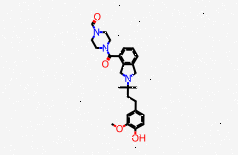 COc1cc(CCC(C)(C)N2Cc3cccc(C(=O)N4CCN(C=O)CC4)c3C2)ccc1O